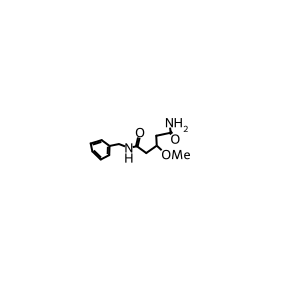 COC(CC(N)=O)CC(=O)NCc1ccccc1